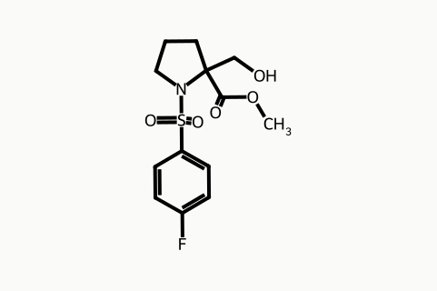 COC(=O)C1(CO)CCCN1S(=O)(=O)c1ccc(F)cc1